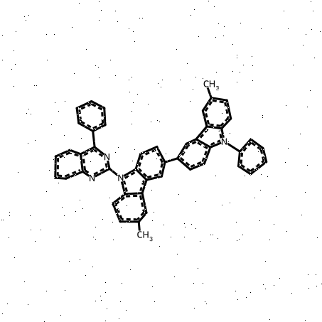 Cc1ccc2c(c1)c1cc(-c3ccc4c(c3)c3cc(C)ccc3n4-c3nc(-c4ccccc4)c4ccccc4n3)ccc1n2-c1ccccc1